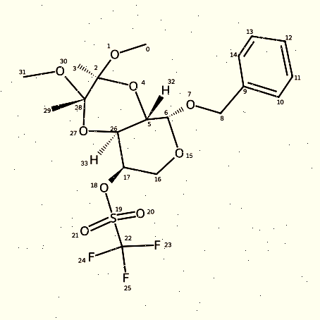 CO[C@@]1(C)O[C@@H]2[C@H](OCc3ccccc3)OC[C@@H](OS(=O)(=O)C(F)(F)F)[C@H]2O[C@]1(C)OC